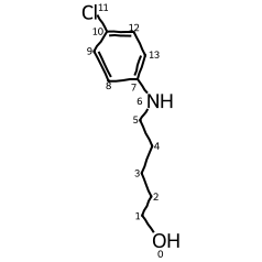 OCCCCCNc1ccc(Cl)cc1